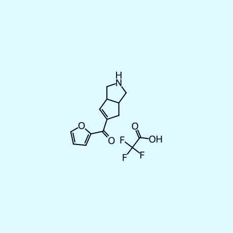 O=C(C1=CC2CNCC2C1)c1ccco1.O=C(O)C(F)(F)F